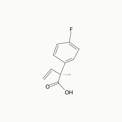 C=C[C@](C)(C(=O)O)c1ccc(F)cc1